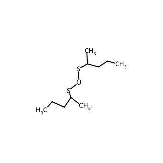 CCCC(C)SOSC(C)CCC